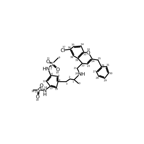 CC(CCc1cc(NS(C)(=O)=O)cc(NS(C)(=O)=O)c1)NCC1C=C(Cc2ccccc2)Oc2ccc(Cl)cc21